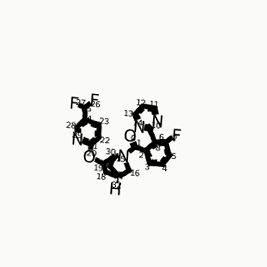 O=C(c1cccc(F)c1-c1ncccn1)N1C[C@H]2CC(Oc3ccc(C(F)F)cn3)C1C2